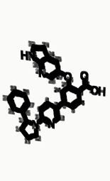 O=C(O)c1ccc(-c2ccc(N3CCCC3c3ccccc3)nc2)cc1Oc1cnc2[nH]ccc2c1